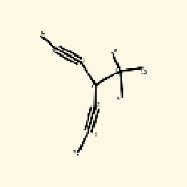 [CH2]C#CC(C#CC)C(C)(C)C